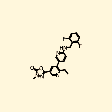 CCc1ncc(-c2nn(C)c(=O)o2)cc1-c1ccc(NCc2c(F)cccc2F)nc1